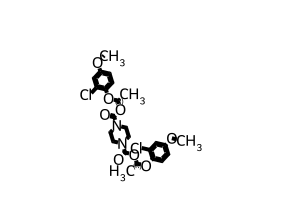 COc1ccc(O[C@@H](C)OC(=O)N2CCN(C(=O)O[C@H](C)Oc3ccc(OC)cc3Cl)CC2)c(Cl)c1